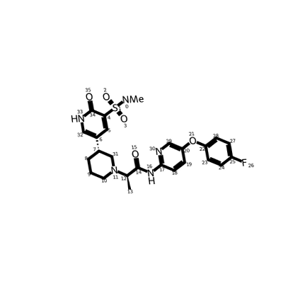 CNS(=O)(=O)c1cc([C@H]2CCCN([C@H](C)C(=O)Nc3ccc(Oc4ccc(F)cc4)cn3)C2)c[nH]c1=O